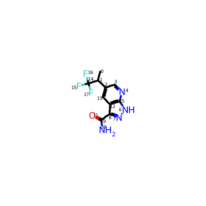 CC(c1cnc2[nH]nc(C(N)=O)c2c1)C(F)(F)F